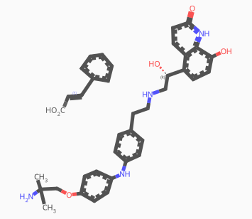 CC(C)(N)COc1ccc(Nc2ccc(CCNC[C@H](O)c3ccc(O)c4[nH]c(=O)ccc34)cc2)cc1.O=C(O)/C=C/c1ccccc1